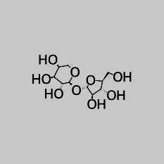 OC[C@@H]1O[C@@H](O[C@@H]2OC[C@H](O)[C@H](O)[C@H]2O)[C@H](O)[C@H]1O